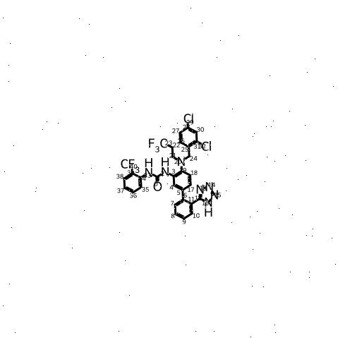 O=C(Nc1cc(-c2ccccc2-c2nnn[nH]2)ccc1N(CCC(F)(F)F)Cc1ccc(Cl)cc1Cl)Nc1ccccc1C(F)(F)F